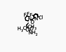 CC(C)(CC[C@@H]1CCC(F)(F)CN1C(=O)c1nc(Cl)ccc1F)OC(N)=O